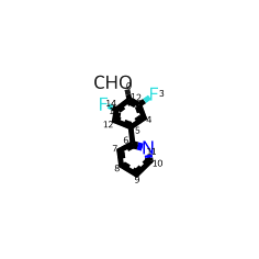 O=Cc1c(F)cc(-c2ccccn2)cc1F